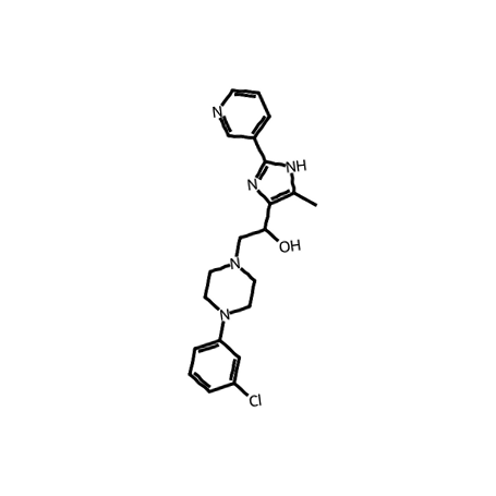 Cc1[nH]c(-c2cccnc2)nc1C(O)CN1CCN(c2cccc(Cl)c2)CC1